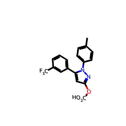 Cc1ccc(-n2nc(OC(=O)O)cc2-c2cccc(C(F)(F)F)c2)cc1